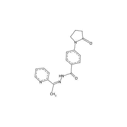 CC(=NNC(=O)c1ccc(N2CCCC2=O)cc1)c1ccccn1